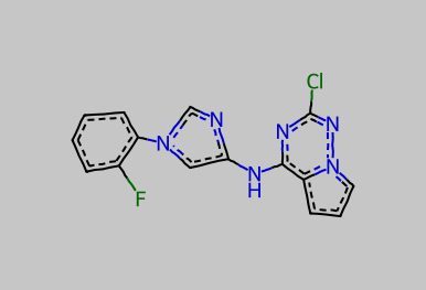 Fc1ccccc1-n1cnc(Nc2nc(Cl)nn3cccc23)c1